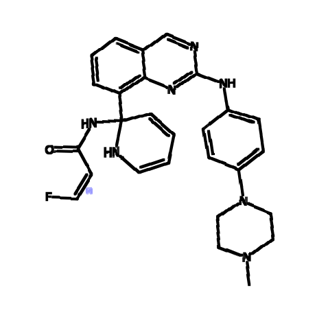 CN1CCN(c2ccc(Nc3ncc4cccc(C5(NC(=O)/C=C\F)C=CC=CN5)c4n3)cc2)CC1